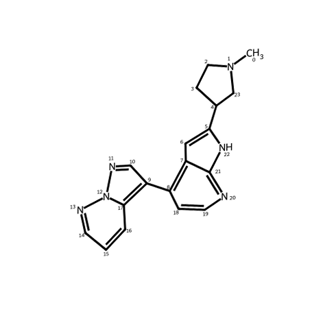 CN1CCC(c2cc3c(-c4cnn5ncccc45)ccnc3[nH]2)C1